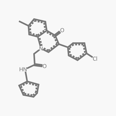 Cc1ccc2c(=O)c(-c3ccc(Cl)cc3)cn(CC(=O)Nc3ccccc3)c2c1